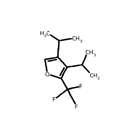 CC(C)c1coc(C(F)(F)F)c1C(C)C